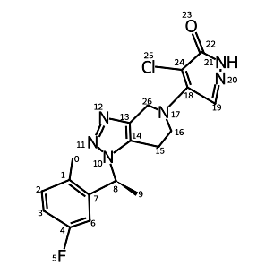 Cc1ccc(F)cc1[C@H](C)n1nnc2c1CCN(c1cn[nH]c(=O)c1Cl)C2